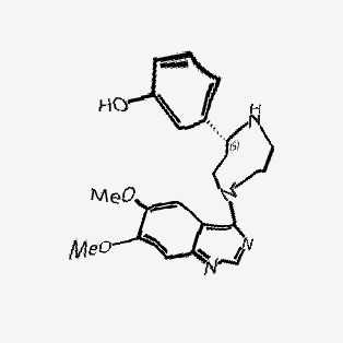 COc1cc2ncnc(N3CCN[C@@H](c4cccc(O)c4)C3)c2cc1OC